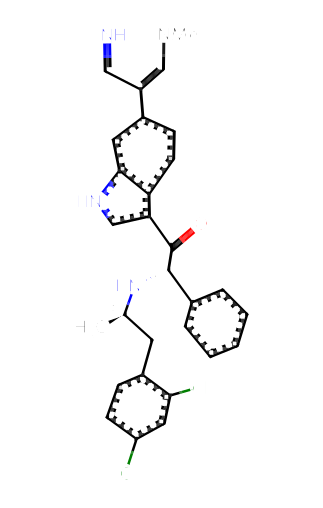 CN/C=C(\C=N)c1ccc2c(C(=O)[C@@H](N[C@H](C)Cc3ccc(Cl)cc3Cl)c3ccccc3)c[nH]c2c1